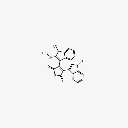 CSc1c(C2=C(c3cn(C)c4ccccc34)C(=O)OC2=O)c2ccccc2n1C